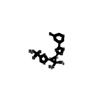 CC1(C)[C@@H](c2nc(-c3cncc(F)c3)no2)[C@@H]1c1ncc(S(N)(=O)=O)s1